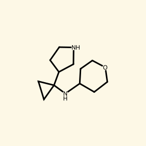 C1CC(C2(NC3CCOCC3)CC2)CN1